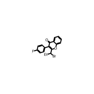 CCC(Br)c1oc2ccccc2c(=O)c1-c1ccc(F)cc1